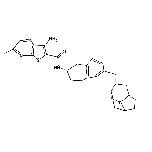 Cc1ccc2c(N)c(C(=O)N[C@H]3CCc4cc(CC5CC6CCC7CC5CN67)ccc4C3)sc2n1